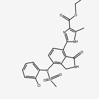 CCOC(=O)c1nc(-c2ccc(N(c3ccccc3Cl)S(C)(=O)=O)c3c2C(=O)NC3)[nH]c1C